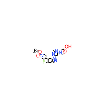 Cc1nc(N2CCO[C@@H](CO)C2)cc(-n2ncc3cc(C)c(C4CCN(C(=O)OC(C)(C)C)CC4F)cc32)n1